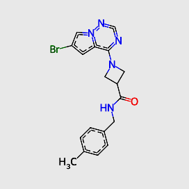 Cc1ccc(CNC(=O)C2CN(c3ncnn4cc(Br)cc34)C2)cc1